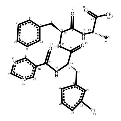 CC(C)[C@H](NC(=O)[C@H](Cc1ccccc1)NC(=O)[C@H](Cc1cccc(Cl)c1)NC(=O)c1cncnc1)C(=O)C(F)(F)F